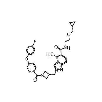 Cc1c(C(=O)NCCOCC2CC2)ccc2nn(CC3CN(C(=O)c4ccc(Oc5ccc(F)cc5)cc4)C3)cc12